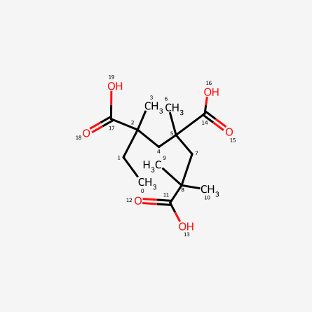 CCC(C)(CC(C)(CC(C)(C)C(=O)O)C(=O)O)C(=O)O